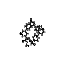 CC(C)CC(=O)Nc1cncc(-c2cc3c(-c4cc5c(N6CCN(S(C)(=O)=O)CC6)ccnc5[nH]4)n[nH]c3cn2)c1